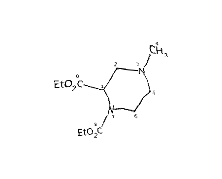 CCOC(=O)C1CN(C)CCN1C(=O)OCC